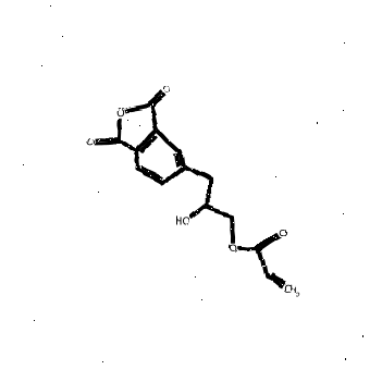 C=CC(=O)OCC(O)Cc1ccc2c(c1)C(=O)OC2=O